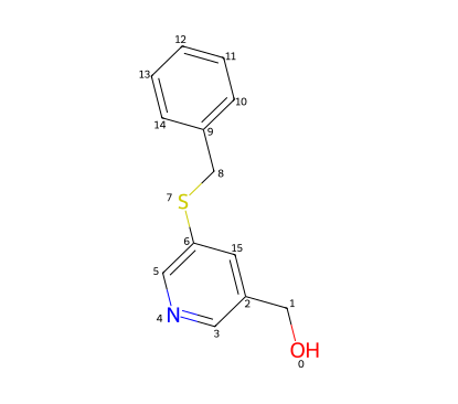 OCc1cncc(SCc2ccccc2)c1